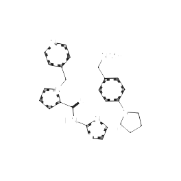 CNCc1ccc(N2CCC[C@@H]2c2csc(NC(=O)c3cccn3Cc3ccncc3)n2)cc1